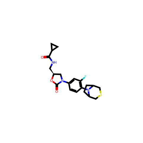 O=C(NC[C@H]1CN(c2ccc(N3C4CCC3CSC4)c(F)c2)C(=O)O1)C1CC1